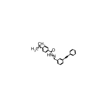 CN(C)c1ccc(C(=O)N/N=C/c2cccc(C#Cc3ccccc3)c2)cc1